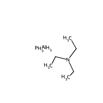 CCN(CC)CC.P.[AlH3]